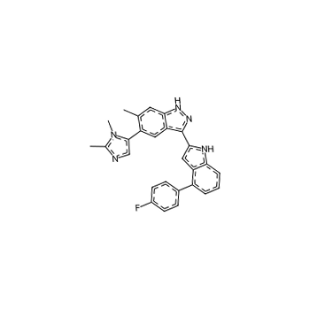 Cc1cc2[nH]nc(-c3cc4c(-c5ccc(F)cc5)cccc4[nH]3)c2cc1-c1cnc(C)n1C